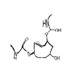 CNC(=O)OC1/C=C/C(OC(O)NC)CC(O)CC1